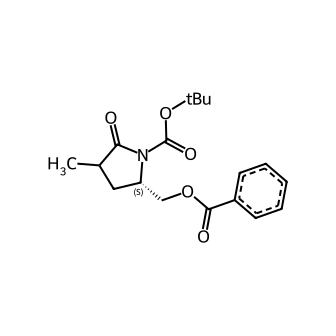 CC1C[C@@H](COC(=O)c2ccccc2)N(C(=O)OC(C)(C)C)C1=O